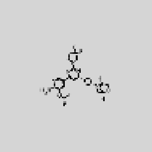 Nc1ncc(-c2cc([C@H]3C[C@@H](N4C[C@@H]5C[C@H]4CO5)C3)nc(N3CCC(F)(F)C3)n2)cc1OC(F)F